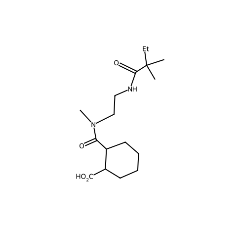 CCC(C)(C)C(=O)NCCN(C)C(=O)C1CCCCC1C(=O)O